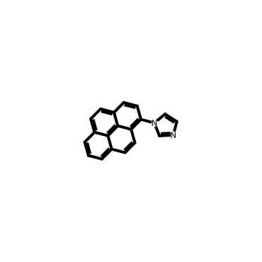 c1cc2ccc3ccc(-n4ccnc4)c4ccc(c1)c2c34